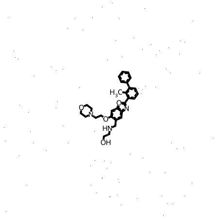 Cc1c(-c2ccccc2)cccc1-c1nc2cc(CNCCO)c(OCCN3CCOCC3)cc2o1